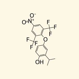 CC(C)c1cc(Oc2c(C(F)(F)F)cc([N+](=O)[O-])cc2C(F)(F)F)ccc1O